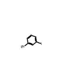 CC(C)c1c[c]cc(I)c1